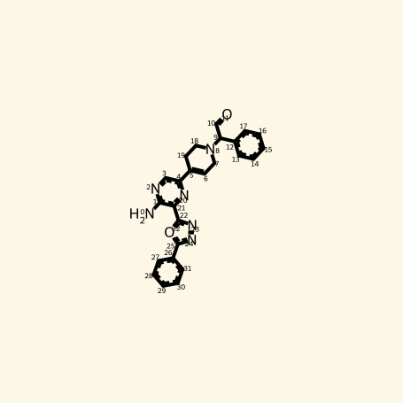 Nc1ncc(C2=CCN(C(C=O)c3ccccc3)CC2)nc1-c1nnc(-c2ccccc2)o1